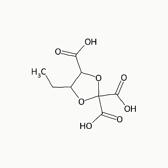 CCC1OC(C(=O)O)(C(=O)O)OC1C(=O)O